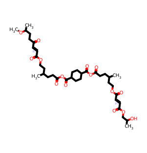 COC(C)CCC(=O)/C=C/C(=O)OCCC(C)CCC(=O)OC(=O)C1CCC(C(=O)OC(=O)CCC(C)CCOC(=O)/C=C/C(=O)OCC(C)O)CC1